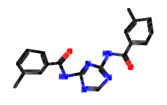 Cc1cccc(C(=O)Nc2ncnc(NC(=O)c3cccc(C)c3)n2)c1